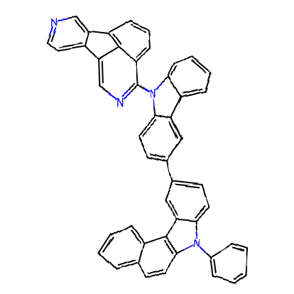 c1ccc(-n2c3ccc(-c4ccc5c(c4)c4ccccc4n5-c4ncc5c6c(cccc46)-c4cnccc4-5)cc3c3c4ccccc4ccc32)cc1